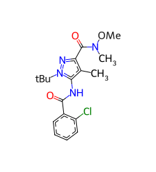 CON(C)C(=O)c1nn(C(C)(C)C)c(NC(=O)c2ccccc2Cl)c1C